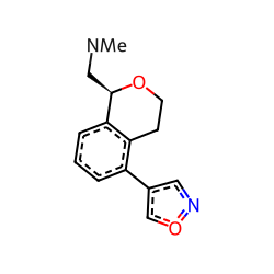 CNC[C@H]1OCCc2c(-c3cnoc3)cccc21